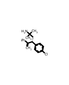 C=C(C(C)C)[C@H](CC(C)(C)N)c1ccc(Cl)cc1